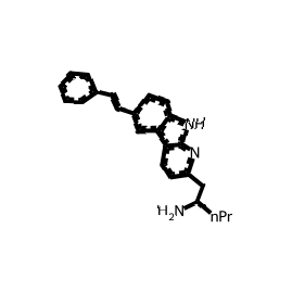 CCCC(N)Cc1ccc2c(n1)[nH]c1ccc(C=Cc3ccccc3)cc12